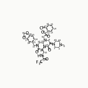 CN1CCN([C@@H]2CN(CS(=O)(=O)c3ccccc3Cl)C3CN(Cc4ccc5c(c4)OCO5)C(=O)[C@H](CNC(=O)C(F)(F)F)N3C2=O)CC1